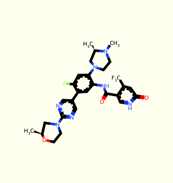 C[C@H]1CN(c2ncc(-c3cc(NC(=O)c4c[nH]c(=O)cc4C(F)(F)F)c(N4CCN(C)[C@@H](C)C4)cc3F)cn2)CCO1